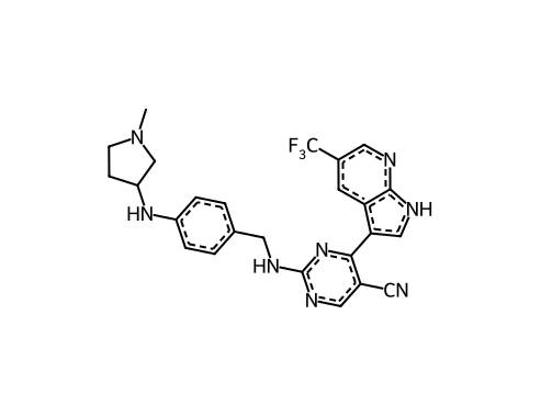 CN1CCC(Nc2ccc(CNc3ncc(C#N)c(-c4c[nH]c5ncc(C(F)(F)F)cc45)n3)cc2)C1